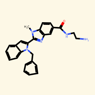 Cn1c(-c2cc3ccccc3n2Cc2ccccc2)nc2cc(C(=O)NCCN)ccc21